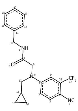 [C-]#[N+]c1ccc(N(CC(=O)NCc2ccccc2)CC2CC2)cc1C(F)(F)F